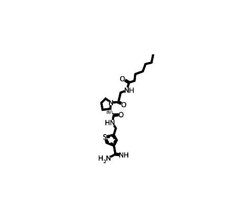 CCCCCCC(=O)NCC(=O)N1CCC[C@H]1C(=O)NCc1cc(C(=N)N)cs1